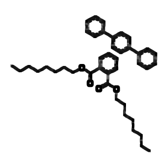 CCCCCCCCOC(=O)c1ccccc1C(=O)OCCCCCCCC.c1ccc(-c2ccc(-c3ccccc3)cc2)cc1